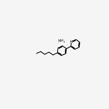 CCCCCc1ccc(-c2ccccn2)cc1.N